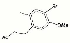 COc1cc(CCC(C)=O)c(C)cc1Br